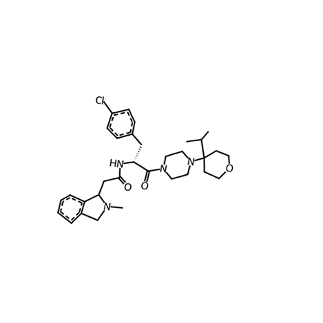 CC(C)C1(N2CCN(C(=O)[C@@H](Cc3ccc(Cl)cc3)NC(=O)CC3c4ccccc4CN3C)CC2)CCOCC1